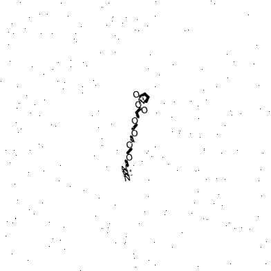 [N-]=[N+]=NCCOCCOCCOCCOCCC(=O)ON1CCCC1=O